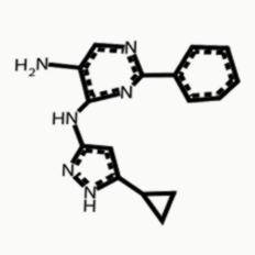 Nc1cnc(-c2ccccc2)nc1Nc1cc(C2CC2)[nH]n1